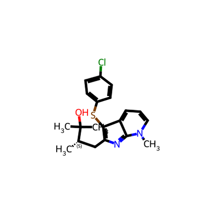 C[C@@H](Cc1nc2n(C)cccc-2c1Sc1ccc(Cl)cc1)C(C)(C)O